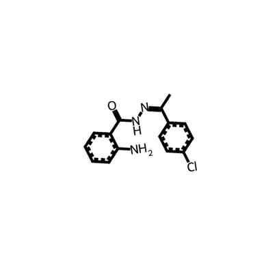 C/C(=N/NC(=O)c1ccccc1N)c1ccc(Cl)cc1